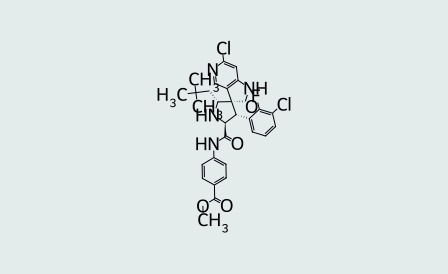 COC(=O)c1ccc(NC(=O)[C@H]2N[C@H](CC(C)(C)C)[C@]3(C(=O)Nc4cc(Cl)ncc43)[C@@H]2c2cccc(Cl)c2F)cc1